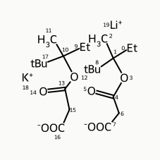 CCC(C)(OC(=O)CC(=O)[O-])C(C)(C)C.CCC(C)(OC(=O)CC(=O)[O-])C(C)(C)C.[K+].[Li+]